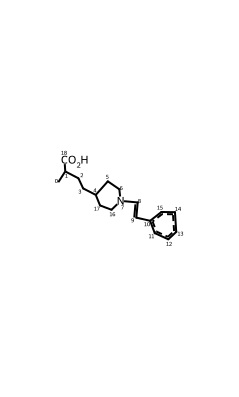 CC(CCC1CCN(C=Cc2ccccc2)CC1)C(=O)O